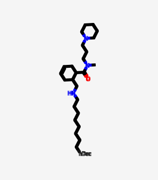 CCCCCCCCCCCCCCCCCCNCC1CC=CCC1C(=O)N(C)CCCN1CCCCC1